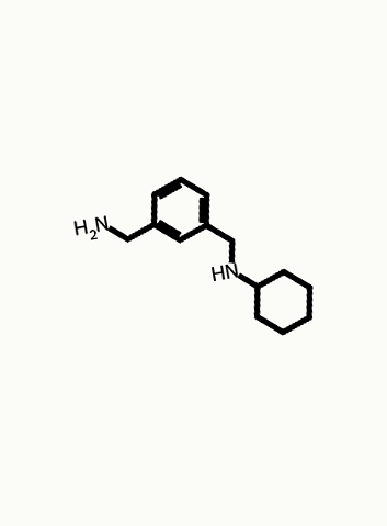 NCc1cccc(CNC2CCCCC2)c1